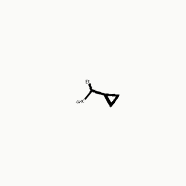 CCC([C]=O)C1CC1